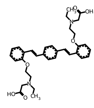 CCN(CCOc1ccccc1C=Cc1ccc(C=Cc2ccccc2OCCN(CC)CC(=O)O)cc1)CC(=O)O